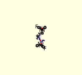 C=C/C(=C\c1c(C)sc(=C/C)/c1=C\C/C=C/C(=C\C=C/C)c1nc(-c2ccccc2)nc(-c2ccc(F)cc2)n1)c1cccc(-c2nc(-c3ccccc3)nc(-c3ccc(F)cc3)n2)c1